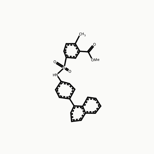 COC(=O)c1cc(S(=O)(=O)Nc2ccc(-c3cccc4ccccc34)cc2)ccc1C